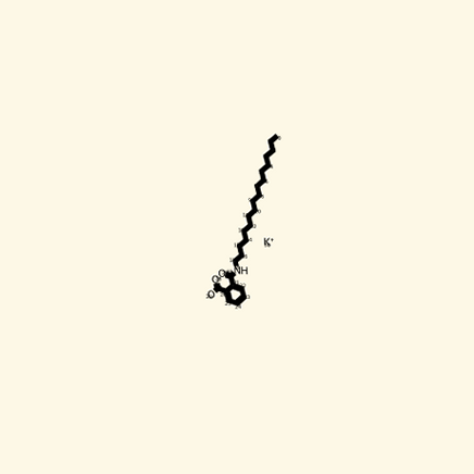 CCCCCCCCCCCCCCCCCCNC(=O)c1ccccc1C(=O)[O-].[K+]